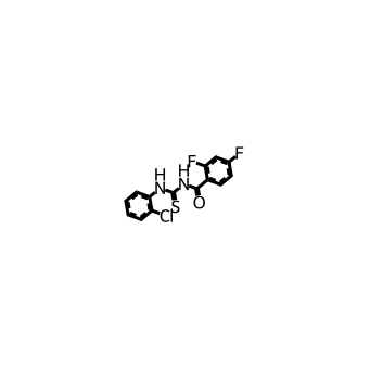 O=C(NC(=S)Nc1ccccc1Cl)c1ccc(F)cc1F